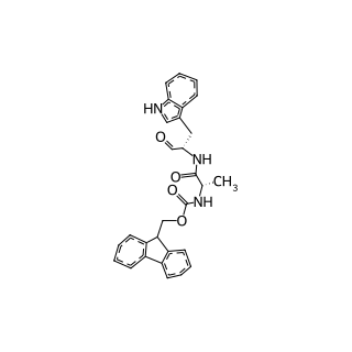 C[C@H](NC(=O)OCC1c2ccccc2-c2ccccc21)C(=O)N[C@H](C=O)Cc1c[nH]c2ccccc12